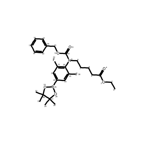 CCOC(=O)CCCCN(C(=O)OCc1ccccc1)c1c(F)cc(B2OC(C)(C)C(C)(C)O2)cc1F